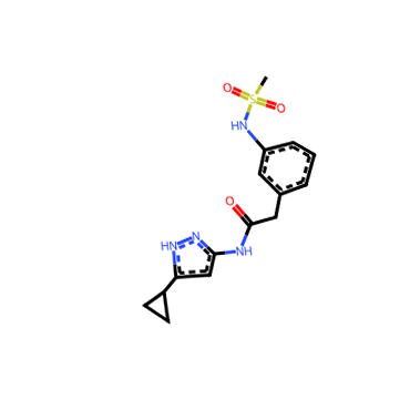 CS(=O)(=O)Nc1cccc(CC(=O)Nc2cc(C3CC3)[nH]n2)c1